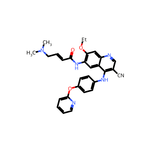 CCOc1cc2ncc(C#N)c(Nc3ccc(Oc4ccccn4)cc3)c2cc1NC(=O)C=CCN(C)C